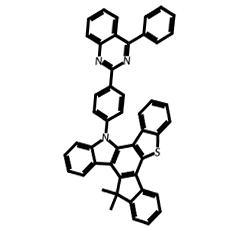 CC1(C)c2ccccc2-c2c1c1c3ccccc3n(-c3ccc(-c4nc(-c5ccccc5)c5ccccc5n4)cc3)c1c1c2sc2ccccc21